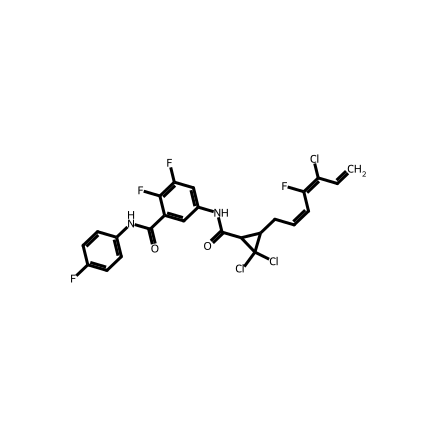 C=C/C(Cl)=C(F)\C=C/CC1C(C(=O)Nc2cc(F)c(F)c(C(=O)Nc3ccc(F)cc3)c2)C1(Cl)Cl